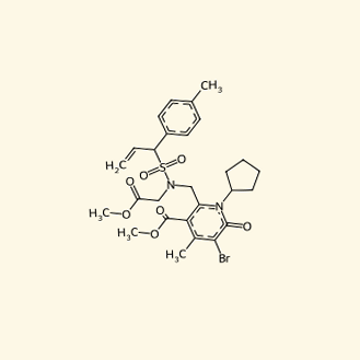 C=CC(c1ccc(C)cc1)S(=O)(=O)N(CC(=O)OC)Cc1c(C(=O)OC)c(C)c(Br)c(=O)n1C1CCCC1